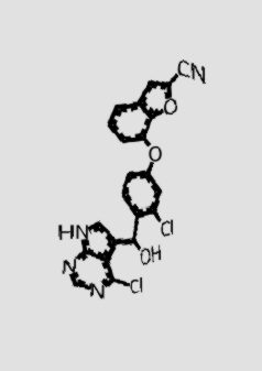 N#Cc1cc2cccc(Oc3ccc(C(O)c4c[nH]c5ncnc(Cl)c45)c(Cl)c3)c2o1